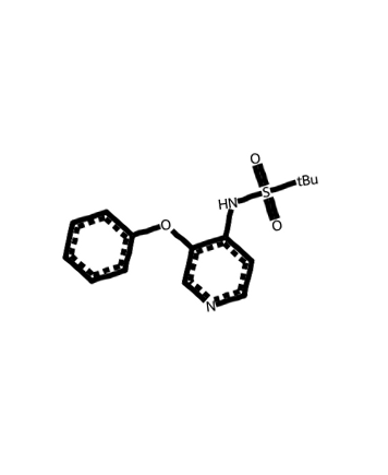 CC(C)(C)S(=O)(=O)Nc1ccncc1Oc1ccccc1